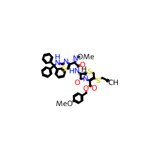 C#CCSC1=C(C(=O)OCc2ccc(OC)cc2)N2C(=O)[C@@H](NC(=O)/C(=N\OC)c3csc(NC(c4ccccc4)(c4ccccc4)c4ccccc4)n3)[C@H]2SC1